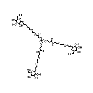 CC(COCCC(=O)NCCOCCOCCOC1OC(CO)C(O)C(O)C1O)(COCCC(=O)NCCOCCOCCOC1OC(CO)C(O)C(O)C1O)OCC(=O)NCCOCCOCCOC1OC(CO)C(O)C(O)C1O